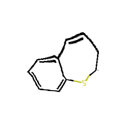 [CH]1CC=Cc2ccccc2S1